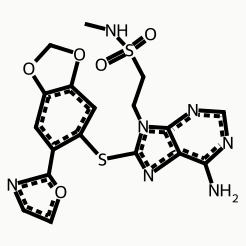 CNS(=O)(=O)CCn1c(Sc2cc3c(cc2-c2ncco2)OCO3)nc2c(N)ncnc21